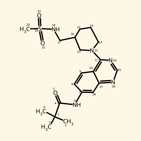 CC(C)(C)C(=O)Nc1ccc2c(N3CCCC(CNS(C)(=O)=O)C3)ncnc2c1